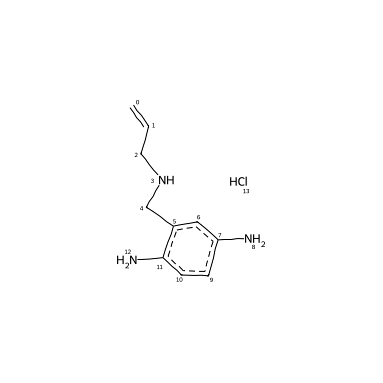 C=CCNCc1cc(N)ccc1N.Cl